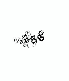 CC[C@H]1O[C@@H](n2cnc3c(N4CC5(CCOCC5)c5ccccc54)nc(Cl)nc32)[C@@H](OC(C)=O)C1OC(C)=O